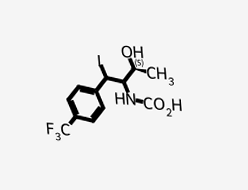 C[C@H](O)C(NC(=O)O)C(I)c1ccc(C(F)(F)F)cc1